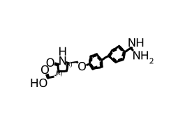 N=C(N)c1ccc(-c2ccc(OC[C@H]3C[C@H](CC(=O)O)C(=O)N3)cc2)cc1